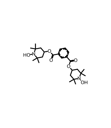 CC1(C)CC(OC(=O)c2cccc(C(=O)OC3CC(C)(C)N(O)C(C)(C)C3)c2)CC(C)(C)N1O